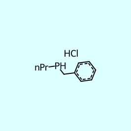 CCCPCc1ccccc1.Cl